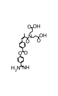 CC(=Cc1ccc(C(=O)Oc2ccc(C(=N)N)cc2)cc1)C(=O)N(CCC(=O)O)CCC(=O)O